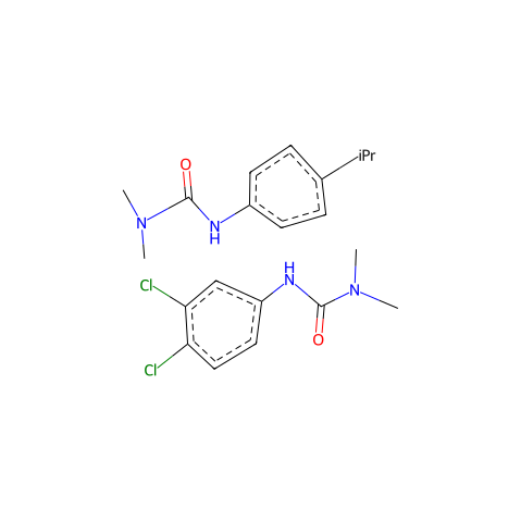 CC(C)c1ccc(NC(=O)N(C)C)cc1.CN(C)C(=O)Nc1ccc(Cl)c(Cl)c1